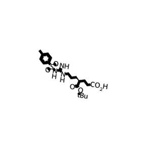 Cc1ccc(S(=O)(=O)NC(=N)NCCC[C@@H](CCC(=O)O)C(=O)OC(C)(C)C)cc1